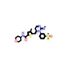 C/N=C(\N=C/C/C=C\c1sc(C(=O)NC2CCOCC2)cc1C)Nc1cccc([SH](C)(C)=O)c1